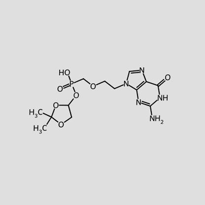 CC1(C)OCC(OP(=O)(O)COCCn2cnc3c(=O)[nH]c(N)nc32)O1